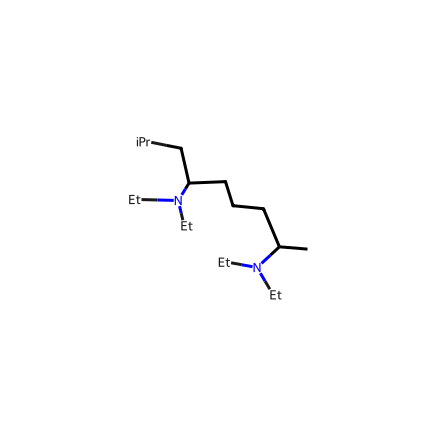 [CH2]C(C)CC(CCCC(C)N(CC)CC)N(CC)CC